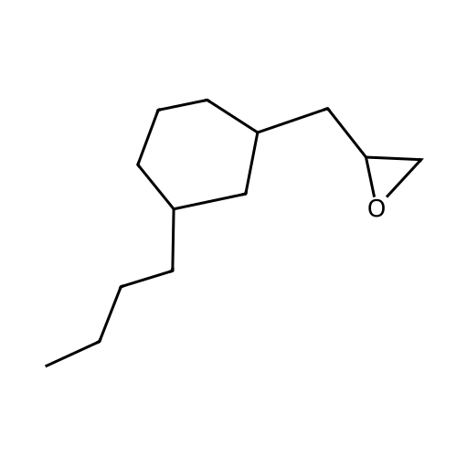 CCCCC1CCCC(CC2CO2)C1